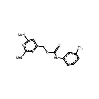 CNc1cc(COC(=O)Nc2cccc(C(F)(F)F)c2)nc(SC)n1